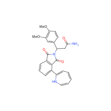 COc1ccc(C(CC(N)=O)N2C(=O)c3cccc(C4=CC=CC=CN4)c3C2=O)cc1OC